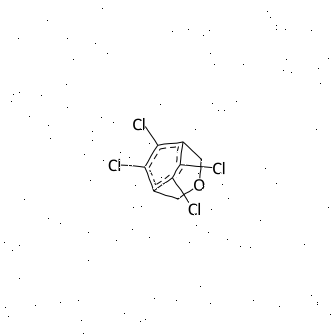 Clc1c(Cl)c2c(Cl)c(Cl)c1COC2